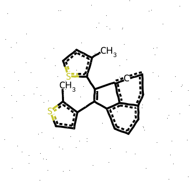 Cc1ccsc1C1=C(c2ccsc2C)c2cccc3cccc1c23